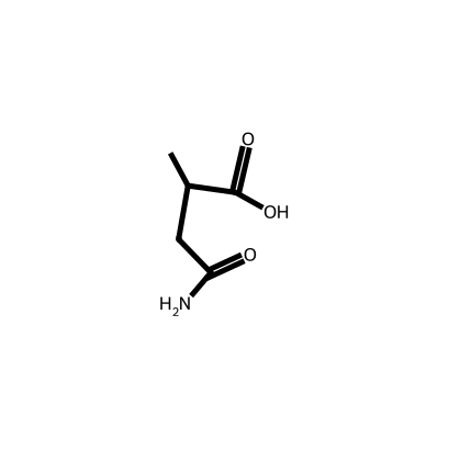 CC(CC(N)=O)C(=O)O